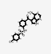 Nc1ncnc2[nH]cc(C(=O)c3cccc(NS(=O)(=O)c4ccc(Cl)cc4)c3)c12